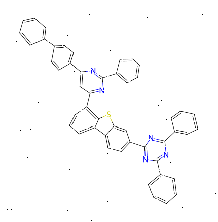 c1ccc(-c2ccc(-c3cc(-c4cccc5c4sc4cc(-c6nc(-c7ccccc7)nc(-c7ccccc7)n6)ccc45)nc(-c4ccccc4)n3)cc2)cc1